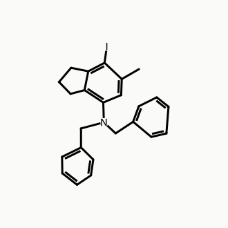 Cc1cc(N(Cc2ccccc2)Cc2ccccc2)c2c(c1I)CCC2